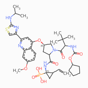 C=CC1C[C@]1(NC(=O)C1C[C@@H](Oc2cc(-c3csc(NC(C)C)n3)nc3cc(OC)ccc23)CN1C(=O)C(NC(=O)OC1CCCC1)C(C)(C)C)P(=O)(O)O